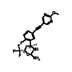 COc1ncc(C#Cc2ccc(F)c([C@]3(C)C[C@@H](C(F)(F)F)OC(N)N3)c2)cn1